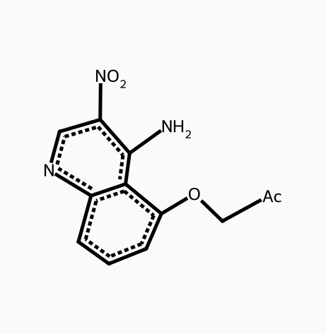 CC(=O)COc1cccc2ncc([N+](=O)[O-])c(N)c12